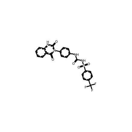 O=C(Nc1ccc(-n2c(=O)[nH]c3ccccc3c2=O)cc1)NS(=O)(=O)c1ccc(C(F)(F)F)cc1